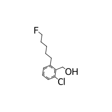 OCc1c(Cl)cccc1CCCCCF